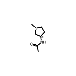 CC(=O)N[C@@H]1CCN(C)C1